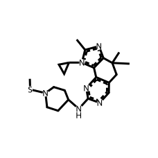 CSN1CCC(Nc2ncc3c(n2)-c2c(nc(C)n2C2CC2)C(C)(C)C3)CC1